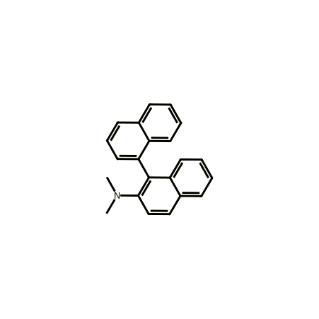 CN(C)c1ccc2ccccc2c1-c1cccc2ccccc12